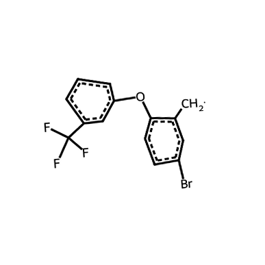 [CH2]c1cc(Br)ccc1Oc1cccc(C(F)(F)F)c1